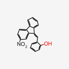 O=[N+]([O-])c1ccc2c(c1)C(=Cc1ccccc1O)c1ccccc1-2